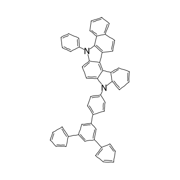 c1ccc(-c2cc(-c3ccccc3)cc(-c3ccc(-n4c5ccccc5c5c6c7ccc8ccccc8c7n(-c7ccccc7)c6ccc54)cc3)c2)cc1